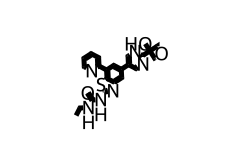 CCNC(=O)Nc1nc2cc(-c3cnc(C4(O)COC4)nc3)cc(-c3ccccn3)c2s1